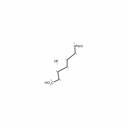 CCCCCCCCCCC(=O)O.F